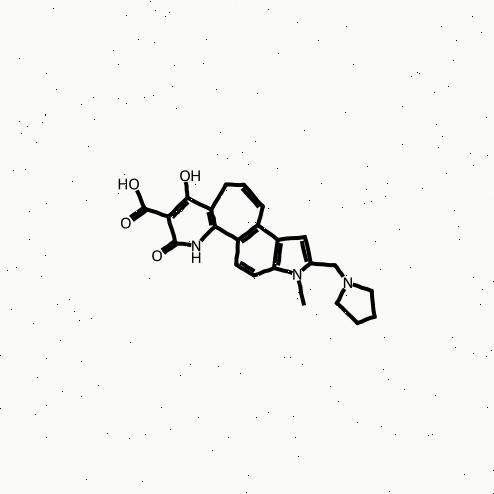 Cn1c(CN2CCCC2)cc2c3c(ccc21)-c1[nH]c(=O)c(C(=O)O)c(O)c1CC=C3